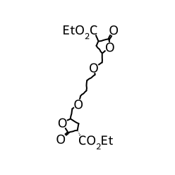 CCOC(=O)C1CC(COCCCCOCC2C[C@H](C(=O)OCC)C(=O)O2)OC1=O